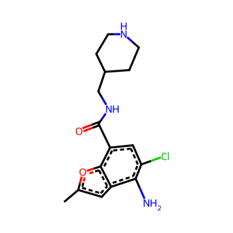 Cc1cc2c(N)c(Cl)cc(C(=O)NCC3CCNCC3)c2o1